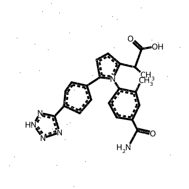 Cc1cc(C(N)=O)ccc1-n1c(-c2ccc(-c3nn[nH]n3)cc2)ccc1C(C)C(=O)O